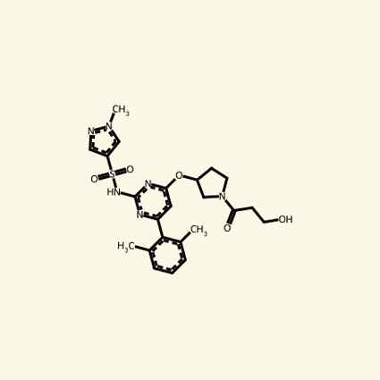 Cc1cccc(C)c1-c1cc(OC2CCN(C(=O)CCO)C2)nc(NS(=O)(=O)c2cnn(C)c2)n1